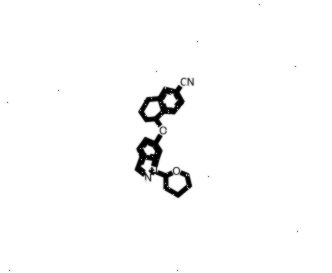 N#Cc1ccc2c(c1)CCCC2Oc1ccc2cnn(C3CCCCO3)c2c1